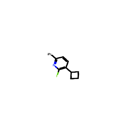 CC(C)c1ccc(C2CCC2)c(F)n1